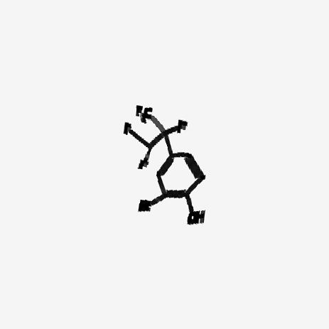 CCc1cc(C(F)(C(F)F)C(F)(F)F)ccc1O